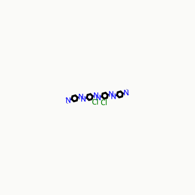 CN(C)c1ccc(/N=N/c2ccc(/N=N/c3ccc(/N=N/c4ccc(N(C)C)cc4)cc3Cl)c(Cl)c2)cc1